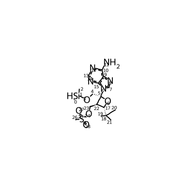 C[SiH](C)OC[C@]1(n2cnc3c(N)ncnc32)O[C@H](C(C)(C)C)[C@H]1COS(C)(=O)=O